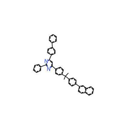 CC(C)(c1ccc(-c2ccc3ccccc3c2)cc1)c1ccc(-c2cc(-c3ccc(-c4ccccc4)cc3)nc(-c3ccccc3)n2)cc1